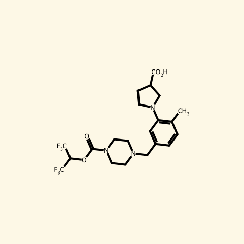 Cc1ccc(CN2CCN(C(=O)OC(C(F)(F)F)C(F)(F)F)CC2)cc1N1CCC(C(=O)O)C1